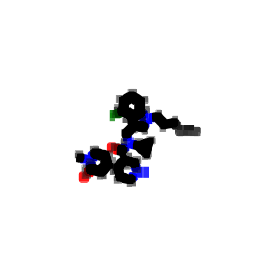 COCCCn1cc(CN(C(=O)[C@H]2CNCC[C@@H]2c2ccn(C)c(=O)c2)C2CC2)c2c(F)cccc21